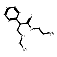 CCCOC(=O)C(COCC)c1ccccc1